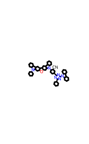 N#Cc1cc(-c2nc(-c3ccccc3)nc(-n3c4ccccc4c4ccccc43)n2)ccc1-n1c2ccccc2c2cc3c(cc21)oc1cc2c(cc13)c1ccccc1n2-c1ccccc1